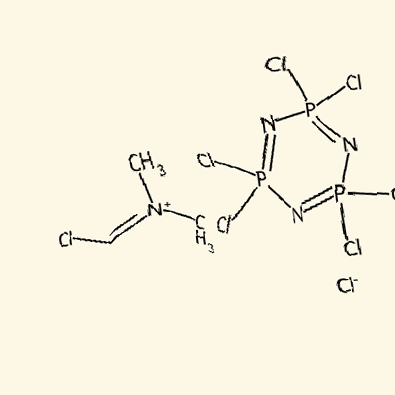 C[N+](C)=CCl.ClP1(Cl)=NP(Cl)(Cl)=NP(Cl)(Cl)=N1.[Cl-]